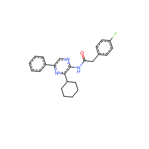 O=C(Cc1ccc(F)cc1)Nc1ncc(-c2ccccc2)nc1C1CCCCC1